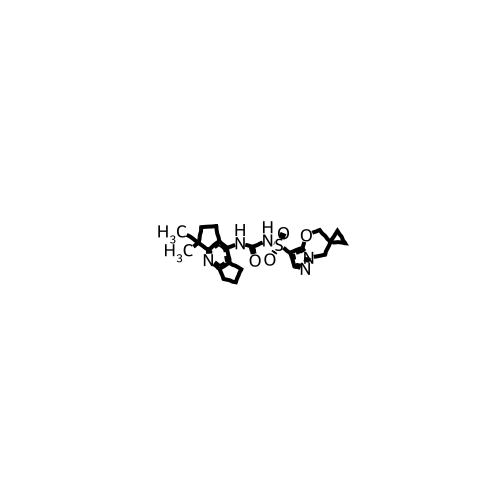 CC1(C)CCc2c1nc1c(c2NC(=O)NS(=O)(=O)c2cnn3c2OCC2(CC2)C3)CCC1